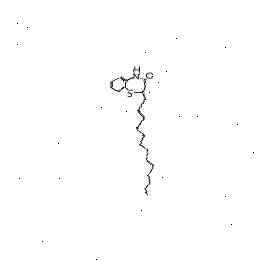 CCCCCCCCCCCCCC1CC(=O)Nc2ccccc2S1